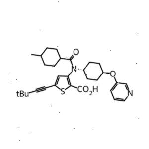 CC1CCC(C(=O)N(c2cc(C#CC(C)(C)C)sc2C(=O)O)[C@H]2CC[C@H](Oc3cccnc3)CC2)CC1